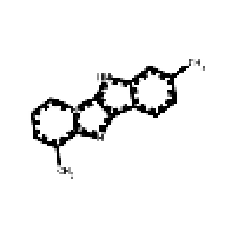 Cc1ccc2c(c1)[nH]c1c2nc2c(C)cccn21